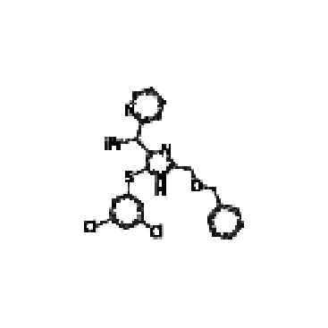 CC(C)C(c1ccccn1)c1nc(COCc2ccccc2)[nH]c1Sc1cc(Cl)cc(Cl)c1